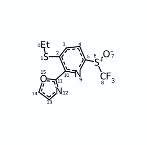 CCSc1ccc([S+]([O-])C(F)(F)F)nc1-c1ncco1